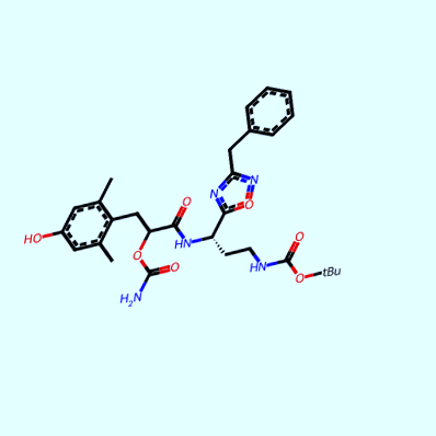 Cc1cc(O)cc(C)c1CC(OC(N)=O)C(=O)N[C@@H](CCNC(=O)OC(C)(C)C)c1nc(Cc2ccccc2)no1